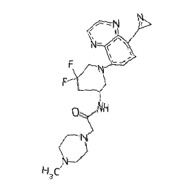 CN1CCN(CC(=O)NC2CN(c3ccc(C4=NC4)c4nccnc34)CC(F)(F)C2)CC1